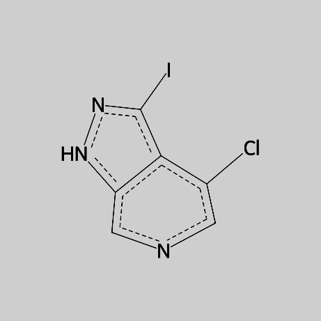 Clc1cncc2[nH]nc(I)c12